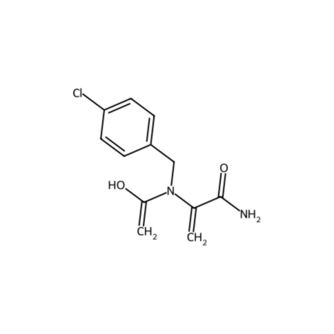 C=C(O)N(Cc1ccc(Cl)cc1)C(=C)C(N)=O